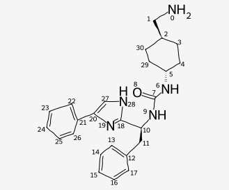 NC[C@H]1CC[C@H](NC(=O)N[C@@H](Cc2ccccc2)c2nc(-c3ccccc3)c[nH]2)CC1